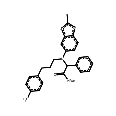 CNC(=O)C(c1ccccc1)N(CCCc1ccc(C(F)(F)F)cc1)c1ccc2nc(C)sc2c1